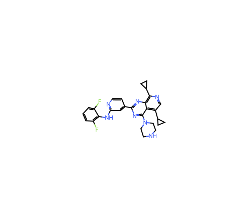 Fc1cccc(F)c1Nc1cc(-c2nc(N3CCNCC3)c3c(C4CC4)cnc(C4CC4)c3n2)ccn1